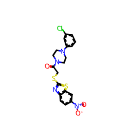 O=C(CSc1nc2ccc([N+](=O)[O-])cc2s1)N1CCN(c2cccc(Cl)c2)CC1